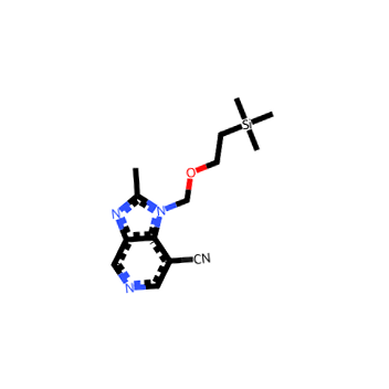 Cc1nc2cncc(C#N)c2n1COCC[Si](C)(C)C